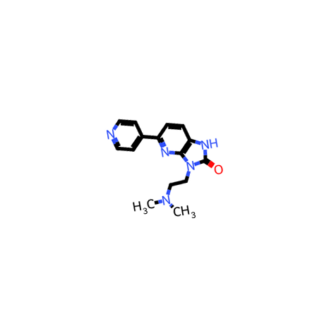 CN(C)CCn1c(=O)[nH]c2ccc(-c3ccncc3)nc21